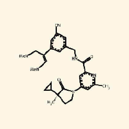 CN/C=C(\CNC)c1cc(C#N)cc(CNC(=O)c2cc(N3CC[C@@](C)(C4CC4)C3=O)cc(C)n2)c1